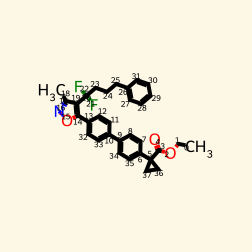 CCOC(=O)C1(c2ccc(-c3ccc(-c4onc(C)c4C(F)(F)CCCc4ccccc4)cc3)cc2)CC1